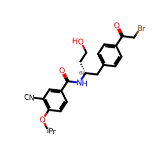 [C-]#[N+]c1cc(C(=O)N[C@H](CCO)Cc2ccc(C(=O)CBr)cc2)ccc1OC(C)C